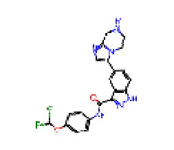 O=C(Nc1ccc(OC(F)F)cc1)c1n[nH]c2ccc(-c3cnc4n3CCNC4)cc12